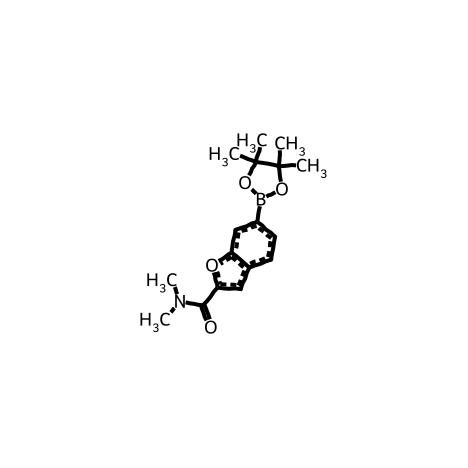 CN(C)C(=O)c1cc2ccc(B3OC(C)(C)C(C)(C)O3)cc2o1